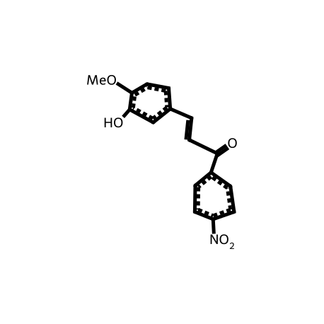 COc1ccc(C=CC(=O)c2ccc([N+](=O)[O-])cc2)cc1O